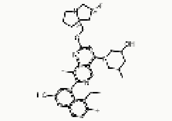 CCc1c(F)ccc2cc(O)cc(-c3ncc4c(N5CC(C)CC(O)C5)nc(OC[C@@]56CCCN5C[C@H](F)C6)nc4c3F)c12